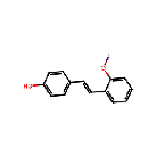 Oc1ccc(/C=C/c2ccccc2OI)cc1